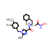 CCCCc1nc(C(=O)N[C@@H](CC(=O)NO)Cc2ccccc2Br)cn1Cc1ccc(C(=O)O)c(Br)c1